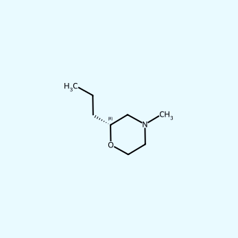 CCC[C@@H]1CN(C)CCO1